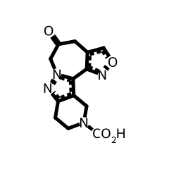 O=C1Cc2conc2-c2c3c(nn2C1)CCN(C(=O)O)C3